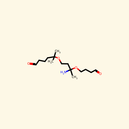 CC(C)(CCCC=O)OCCC(C)(N)OCCCC=O